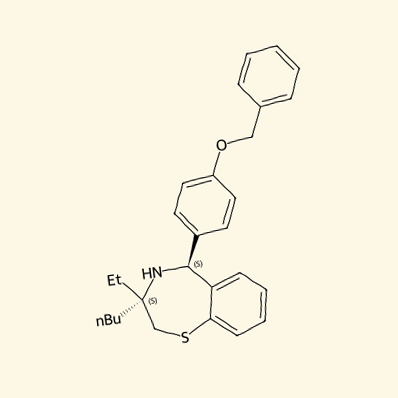 CCCC[C@@]1(CC)CSc2ccccc2[C@H](c2ccc(OCc3ccccc3)cc2)N1